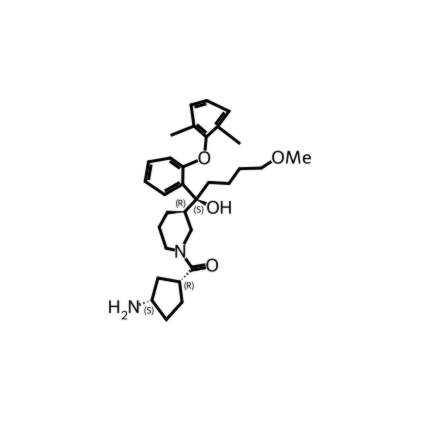 COCCCC[C@@](O)(c1ccccc1Oc1c(C)cccc1C)[C@@H]1CCCN(C(=O)[C@@H]2CC[C@H](N)C2)C1